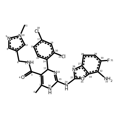 CC1=C(C(=O)NCc2cnn(C)c2)C(c2ccc(Cl)cc2Cl)N=C(Nc2nc3ccc(F)c(N)c3o2)N1